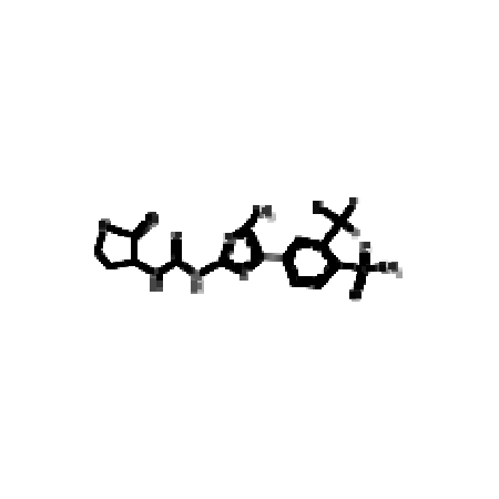 Cc1nc(NC(=O)NC2CCOC2=O)sc1-c1ccc(S(C)(=O)=O)c(C(F)(F)F)c1